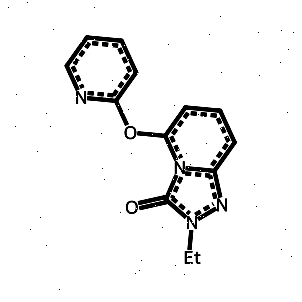 CCn1nc2cccc(Oc3ccccn3)n2c1=O